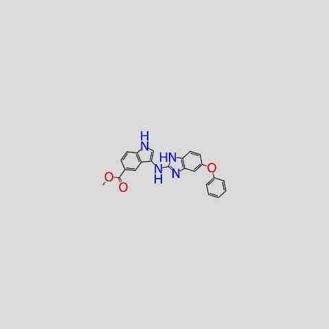 COC(=O)c1ccc2[nH]cc(Nc3nc4cc(Oc5ccccc5)ccc4[nH]3)c2c1